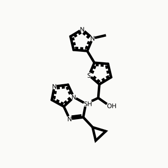 Cn1nccc1-c1ccc(C(O)[SH]2C(C3CC3)=Nc3cncn32)s1